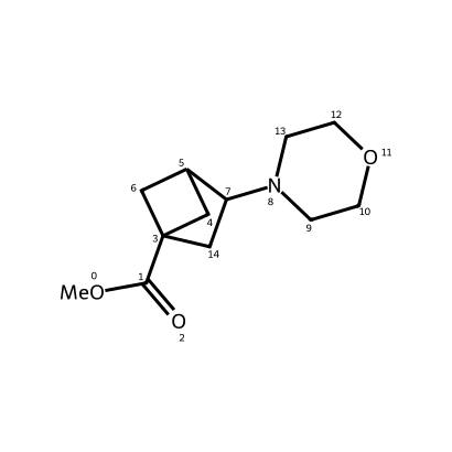 COC(=O)C12CC(C1)C(N1CCOCC1)C2